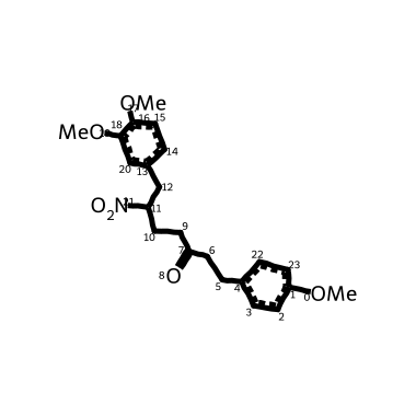 COc1ccc(CCC(=O)CCC(Cc2ccc(OC)c(OC)c2)[N+](=O)[O-])cc1